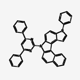 c1ccc(-c2cc(-c3ccccc3)nc(-n3c4ccc5ccccc5c4c4c5ccn(-c6ccccc6)c5ccc43)n2)cc1